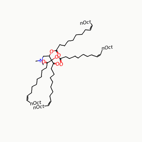 CCCCCCCC/C=C\CCCCCCCC(=O)OC(CN(C)C)C(OC(=O)CCCCCCC/C=C\CCCCCCCC)(C(=O)CCCCCCC/C=C\CCCCCCCC)C(=O)CCCCCCC/C=C\CCCCCCCC